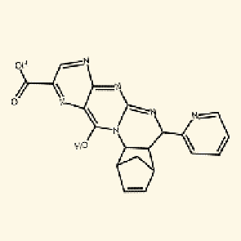 O=C(O)c1cnc2c(n1)=C(O)N1C(=NC(c3ccccn3)C3C4C=CC(C4)C31)N=2